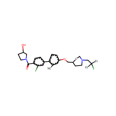 CCC(F)(CC)CN1CCC(COc2ccc(-c3ccc(C(=O)N4CCC(O)C4)c(F)c3)c(C#N)c2)CC1